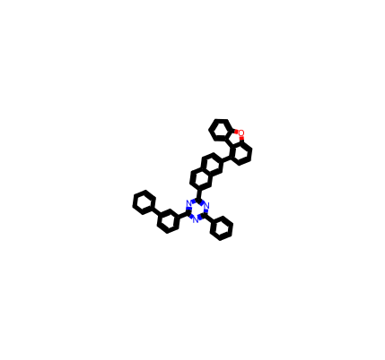 C1=CC(c2cccc(-c3nc(-c4ccccc4)nc(-c4ccc5ccc(-c6cccc7oc8ccccc8c67)cc5c4)n3)c2)=CCC1